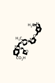 C[C@H]1CN(c2cccc(OCc3ccc4cnn(C)c4c3)n2)CCN1Cc1nc2ccc(C(=O)O)cc2n1C[C@@H]1CCO1